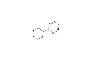 C1=CON(C2CCCCC2)C=C1